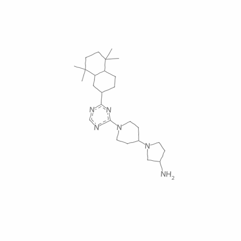 CC1(C)CCC(C)(C)C2CC(c3ncnc(N4CCC(N5CCC(N)C5)CC4)n3)CCC21